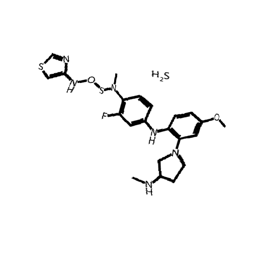 CNC1CCN(c2cc(OC)ccc2Nc2ccc(N(C)SONc3cscn3)c(F)c2)C1.S